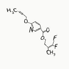 CC#CCOc1ccc(C(=O)OCCC(C)=C(F)F)cn1